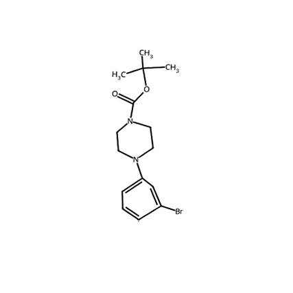 CC(C)(C)OC(=O)N1CCN(c2cc[c]c(Br)c2)CC1